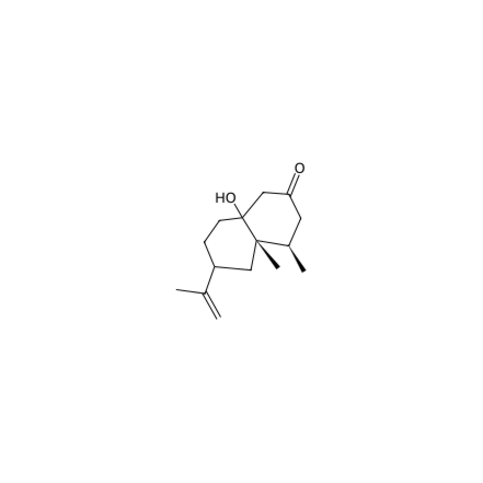 C=C(C)C1CCC2(O)CC(=O)C[C@@H](C)[C@]2(C)C1